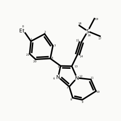 CCc1ccc(-c2nc3ccccn3c2C#CS(C)(C)C)cc1